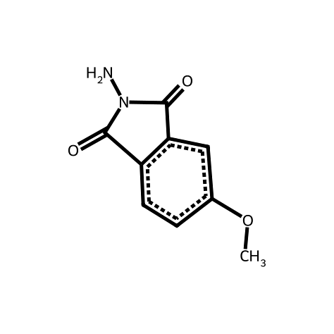 COc1ccc2c(c1)C(=O)N(N)C2=O